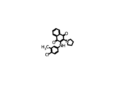 Cc1cc(NC2=C(N3CCCC3)C(=O)c3ccccc3C2=O)ccc1Cl